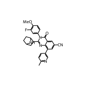 COc1ccc(-n2c(C3CC4CCC3N4)nc3c(-c4ccc(C)nc4)cc(C#N)cc3c2=O)cc1F